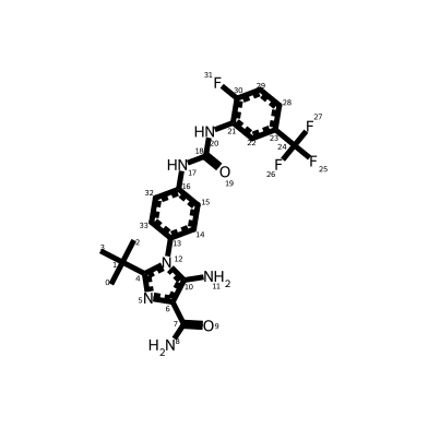 CC(C)(C)c1nc(C(N)=O)c(N)n1-c1ccc(NC(=O)Nc2cc(C(F)(F)F)ccc2F)cc1